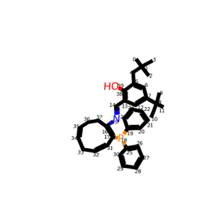 CC(C)(C)Cc1cc(C(C)(C)C)cc(/C=N/C2=C(P(c3ccccc3)c3ccccc3)/C=C\C/C=C\CC2)c1O